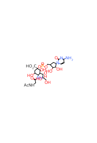 CC(=O)NCC(=O)NC1C(O)CC(OP(=O)(O)OCC2CC(n3ccc(N)nc3=O)C(O)C2O)(C(=O)O)CC1[C@H](O)[C@H](O)CO